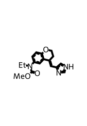 CCN(C(=O)OC)c1ccc2c(c1)/C(=C/c1c[nH]cn1)CCO2